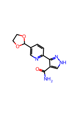 NC(=O)c1c[nH]nc1-c1ccc(C2OCCO2)cn1